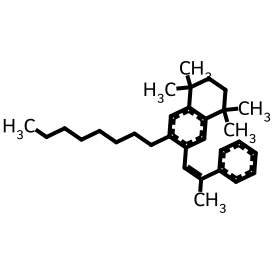 CCCCCCCCc1cc2c(cc1C=C(C)c1ccccc1)C(C)(C)CCC2(C)C